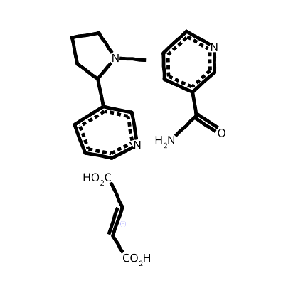 CN1CCCC1c1cccnc1.NC(=O)c1cccnc1.O=C(O)/C=C/C(=O)O